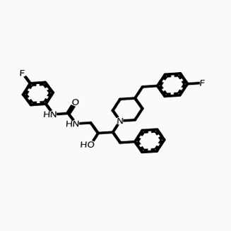 O=C(NCC(O)C(Cc1ccccc1)N1CCC(Cc2ccc(F)cc2)CC1)Nc1ccc(F)cc1